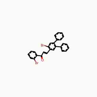 O=C(/C=C/c1cc(-c2ccccc2)c(-c2ccccc2)cc1Br)c1ccccc1Br